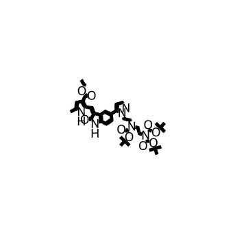 CCOC(=O)c1cc(C)[nH]c1/C=C1\C(=O)Nc2ccc(-c3ccnn3CCN(CCN(C(=O)OC(C)(C)C)C(=O)OC(C)(C)C)C(=O)OC(C)(C)C)cc21